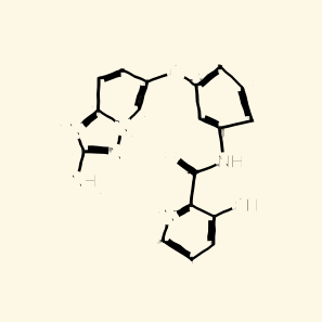 Cc1cccnc1C(=O)Nc1cccc(Oc2ccc3nc(N)nn3c2)c1